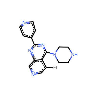 CCc1cncc2nc(-c3ccncc3)nc(N3CCNCC3)c12